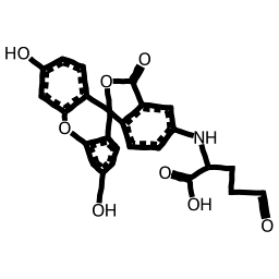 O=CCCC(Nc1ccc2c(c1)C(=O)OC21c2ccc(O)cc2Oc2cc(O)ccc21)C(=O)O